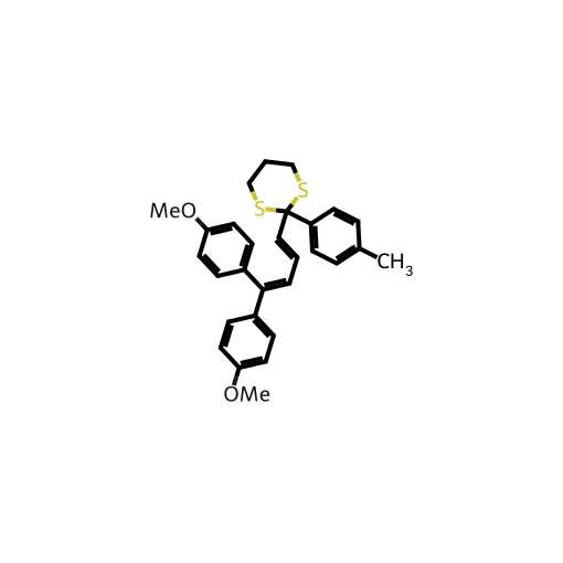 COc1ccc(C(=CC=CC2(c3ccc(C)cc3)SCCCS2)c2ccc(OC)cc2)cc1